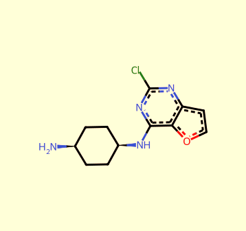 N[C@H]1CC[C@@H](Nc2nc(Cl)nc3ccoc23)CC1